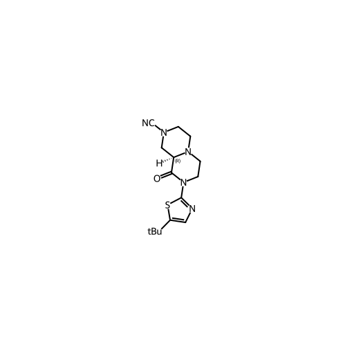 CC(C)(C)c1cnc(N2CCN3CCN(C#N)C[C@@H]3C2=O)s1